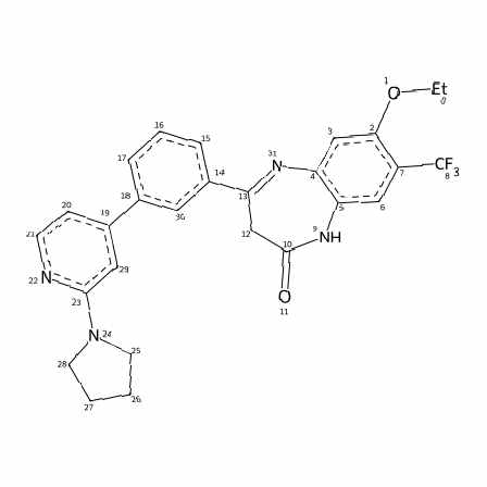 CCOc1cc2c(cc1C(F)(F)F)NC(=O)CC(c1cccc(-c3ccnc(N4CCCC4)c3)c1)=N2